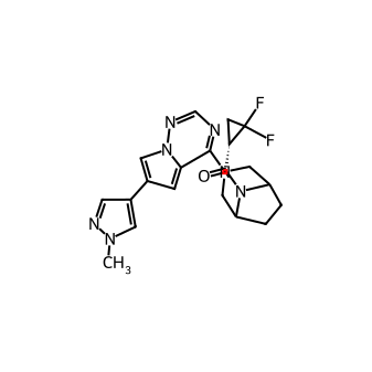 Cn1cc(-c2cc3c(N4CC5CCC(C4)N5C(=O)[C@@H]4CC4(F)F)ncnn3c2)cn1